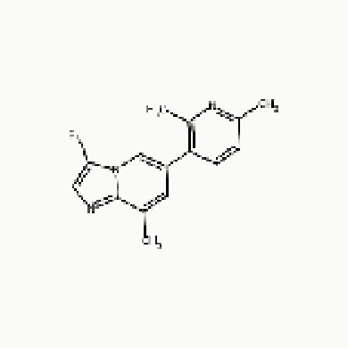 Cc1ccc(-c2cc(C)c3ncc(Br)n3c2)c(C)n1